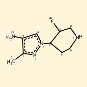 Cc1nn(C2CCNCC2F)cc1N